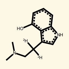 [2H]C([2H])(CN(C)C)c1c[nH]c2cccc(O)c12